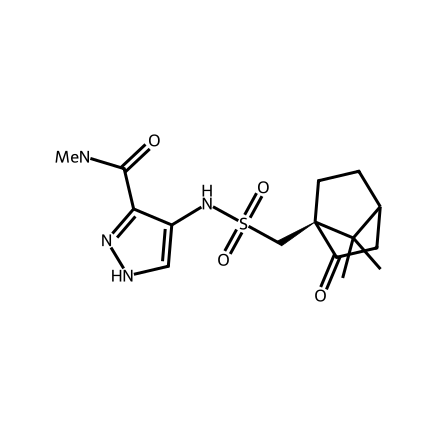 CNC(=O)c1n[nH]cc1NS(=O)(=O)C[C@]12CCC(CC1=O)C2(C)C